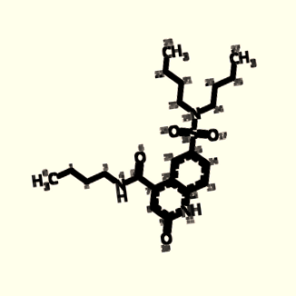 CCCCNC(=O)c1cc(=O)[nH]c2ccc(S(=O)(=O)N(CCCC)CCCC)cc12